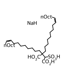 CCCCCCCC/C=C\CCCCCCCCC(CCCCCCCC/C=C\CCCCCCCC)(C(=O)O)C(C(=O)O)S(=O)(=O)O.[NaH]